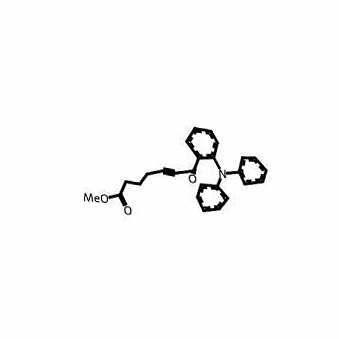 COC(=O)CCCC#CC(=O)c1ccccc1N(c1ccccc1)c1ccccc1